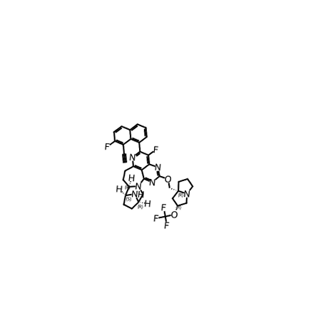 C#Cc1c(F)ccc2cccc(-c3nc4c5c(nc(OC[C@]67CCCN6C[C@H](OC(F)(F)F)C7)nc5c3F)N3C[C@H]5CC[C@H](N5)[C@H]3CC4)c12